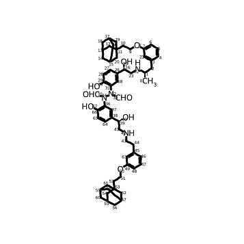 C[C@H](Cc1cccc(OCCC23CC4CC(CC(C4)C2)C3)c1)NC[C@H](O)c1ccc(O)c(N(C=O)N(C=O)c2cc([C@@H](O)CNCCc3cccc(OCCC45CC6CC(CC(C6)C4)C5)c3)ccc2O)c1